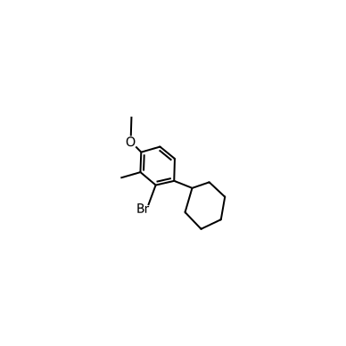 COc1ccc(C2CCCCC2)c(Br)c1C